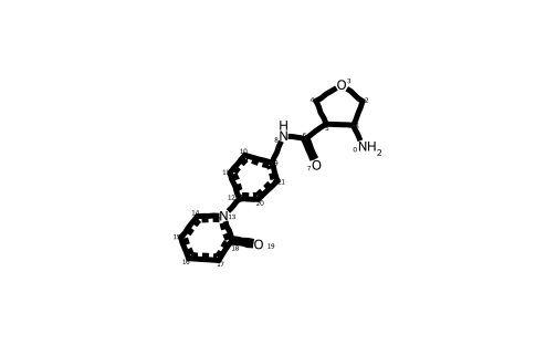 NC1COCC1C(=O)Nc1ccc(-n2ccccc2=O)cc1